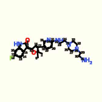 CC1(C)O/C(=C2/C(=O)Nc3cc(F)ccc32)C=C1c1ccc(NCCN2CCN(CCN)CC2)nc1